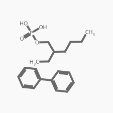 CCCCC(CC)COP(=O)(O)O.c1ccc(-c2ccccc2)cc1